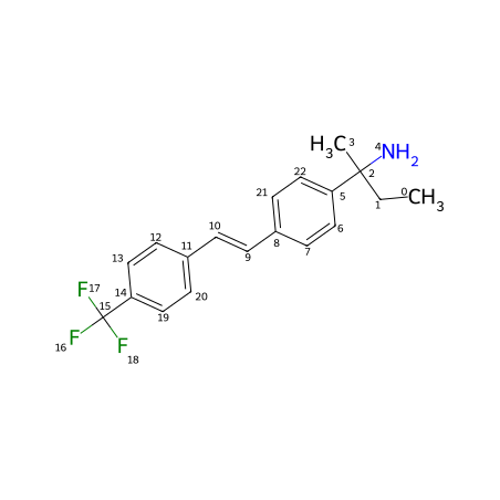 CCC(C)(N)c1ccc(/C=C/c2ccc(C(F)(F)F)cc2)cc1